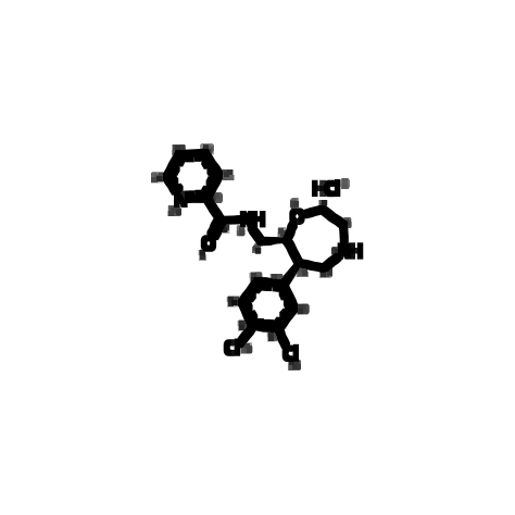 Cl.O=C(NC[C@H]1OCCNC[C@H]1c1ccc(Cl)c(Cl)c1)c1ccccn1